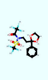 O=C(N(CCC1(c2ccccc2)OCCO1)S(=O)(=O)C(F)(F)F)C(F)(F)F